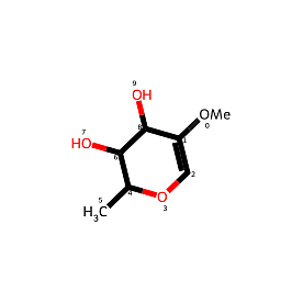 COC1=COC(C)C(O)C1O